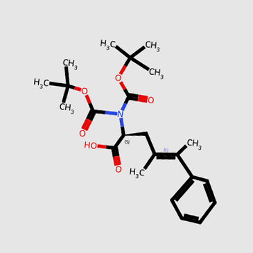 C/C(C[C@@H](C(=O)O)N(C(=O)OC(C)(C)C)C(=O)OC(C)(C)C)=C(/C)c1ccccc1